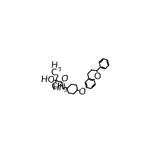 CCC(C)(O)C(=O)NC1CCC(Oc2ccc3c(c2)CCC(c2ccccc2)O3)CC1